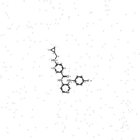 O=C(Nc1ccncc1Nc1ccc(F)cc1)c1ccc(NCC2CC2)nc1